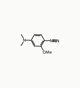 COc1cc(N(C)C)ccc1[N+]#N